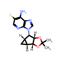 CC1(C)O[C@@H]2[C@@H]3C[C@@H]3[C@@H](n3cnc4c(N)c(F)cnc43)[C@@H]2O1